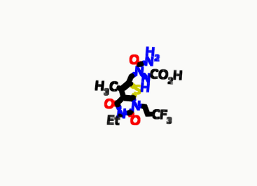 CCn1c(=O)c2c(C)c(CN(NC(=O)O)C(N)=O)sc2n(CCC(F)(F)F)c1=O